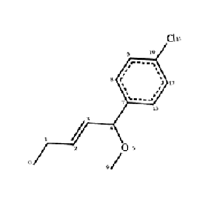 CCC=CC(OC)c1ccc(Cl)cc1